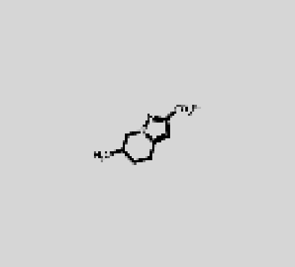 CCOC(=O)c1cc2n(n1)CC(C)CC2